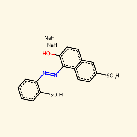 O=S(=O)(O)c1ccc2c(/N=N/c3ccccc3S(=O)(=O)O)c(O)ccc2c1.[NaH].[NaH]